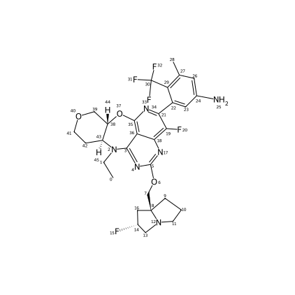 CCN1c2nc(OC[C@@]34CCCN3C[C@H](F)C4)nc3c(F)c(-c4cc(N)cc(C)c4C(F)(F)F)nc(c23)O[C@H]2COCC[C@@H]21